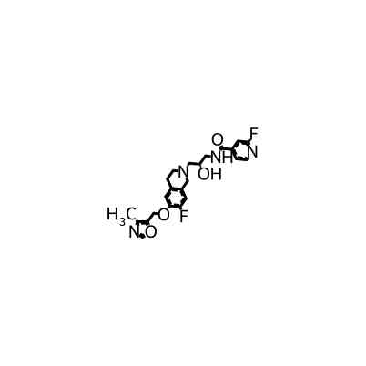 Cc1ncoc1COc1cc2c(cc1F)CN(C[C@@H](O)CNC(=O)c1ccnc(F)c1)CC2